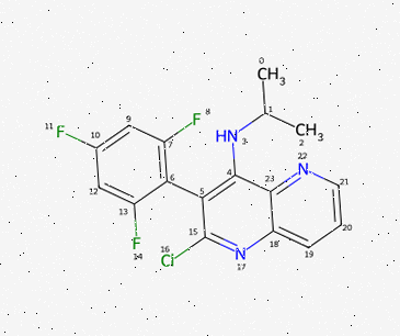 CC(C)Nc1c(-c2c(F)cc(F)cc2F)c(Cl)nc2cccnc12